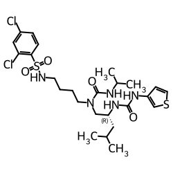 CC(C)C[C@H](CN(CCCCNS(=O)(=O)c1ccc(Cl)cc1Cl)C(=O)NC(C)C)NC(=O)Nc1ccsc1